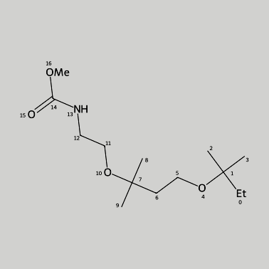 CCC(C)(C)OCCC(C)(C)OCCNC(=O)OC